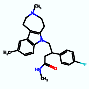 CNC(=O)CC(Cn1c2c(c3cc(C)ccc31)CCN(C)CC2)c1ccc(F)cc1